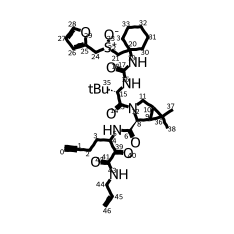 C#CCCC(NC(=O)[C@@H]1C2C(CN1C(=O)[C@@H](NC(=O)NC1(C[S+]([O-])Cc3ccco3)CCCCC1)C(C)(C)C)C2(C)C)C(=O)C(=O)NCC=C